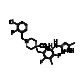 Cc1cc(Nc2nc(CC3(C(=O)O)CCN(Cc4cccc(Cl)c4F)CC3)c(F)c(C)c2F)n[nH]1